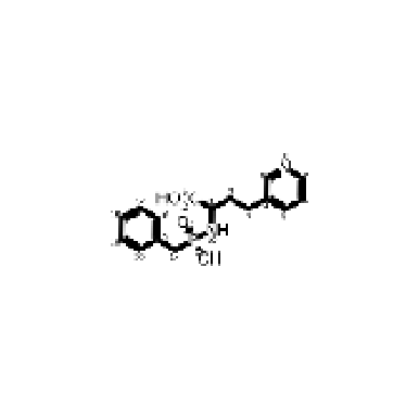 O=C(O)C(CCc1cccnc1)NP(=O)(O)Cc1ccccc1